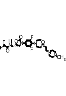 CN1CCN(CCN2CCN(c3c(F)cc(N4C[C@H](CNC(=O)C(F)F)OC4=O)cc3F)CCO2)CC1